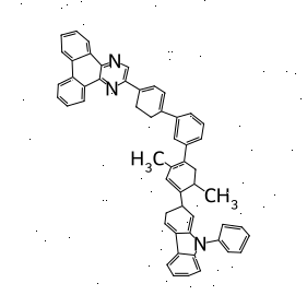 CC1=C(c2cccc(C3=CC=C(c4cnc5c6ccccc6c6ccccc6c5n4)CC3)c2)CC(C)C(C2C=c3c(c4ccccc4n3-c3ccccc3)=CC2)=C1